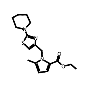 CCOC(=O)c1ccc(C)n1Cc1csc(N2CCCCC2)n1